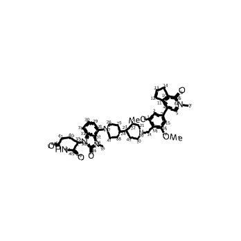 COc1cc(-c2cn(C)c(=O)c3c2CCC3)cc(OC)c1CN1CCC(C2CCN(c3cccc4c3n(C)c(=O)n4C3CCC(=O)NC3=O)CC2)CC1